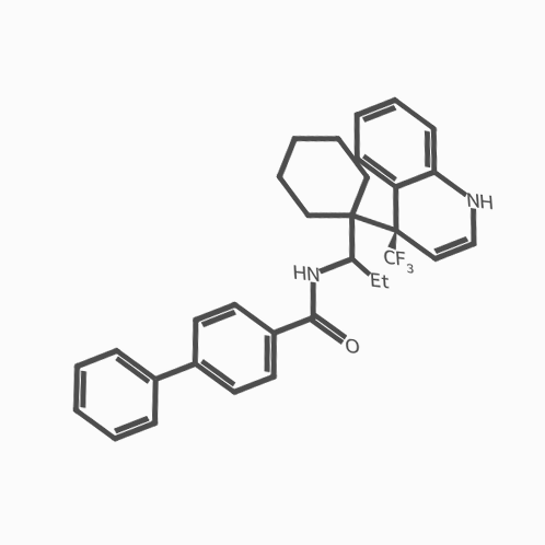 CCC(NC(=O)c1ccc(-c2ccccc2)cc1)C1([C@@]2(C(F)(F)F)C=CNc3ccccc32)CCCCC1